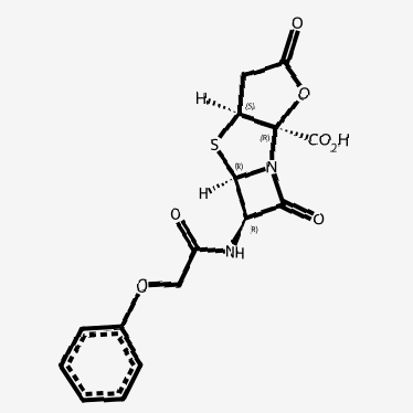 O=C(COc1ccccc1)N[C@@H]1C(=O)N2[C@@H]1S[C@H]1CC(=O)O[C@]12C(=O)O